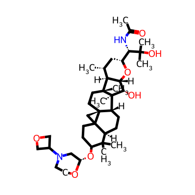 CC(=O)N[C@@H]([C@H]1C[C@@H](C)[C@H]2[C@H](O1)[C@H](O)[C@@]1(C)[C@@H]3CC[C@H]4C(C)(C)C(O[C@H]5CN(C6COC6)CCO5)CCC45C[C@@]35CC[C@]21C)C(C)(C)O